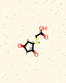 O=C(O)CSC1CC(=O)CC1=O